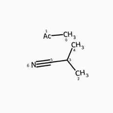 CC(C)=O.CC(C)C#N